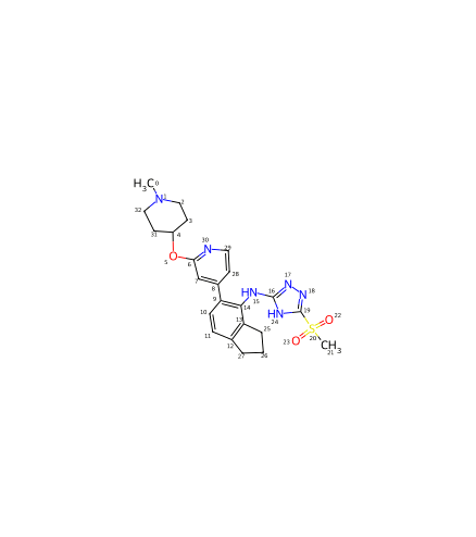 CN1CCC(Oc2cc(-c3ccc4c(c3Nc3nnc(S(C)(=O)=O)[nH]3)CCC4)ccn2)CC1